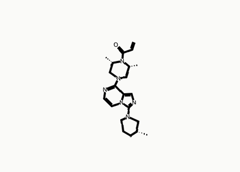 C=CC(=O)N1[C@H](C)CN(c2nccn3c(N4CCC[C@@H](C)C4)ncc23)C[C@@H]1C